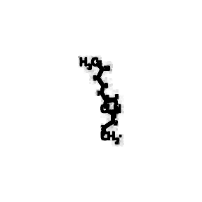 [CH2]CCc1ncc(CCCCC)o1